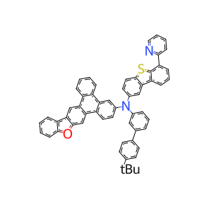 CC(C)(C)c1ccc(-c2cccc(N(c3ccc4sc5c(-c6ccccn6)cccc5c4c3)c3ccc4c(c3)c3ccccc3c3cc5c(cc43)oc3ccccc35)c2)cc1